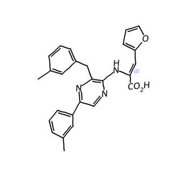 Cc1cccc(Cc2nc(-c3cccc(C)c3)cnc2N/C(=C\c2ccco2)C(=O)O)c1